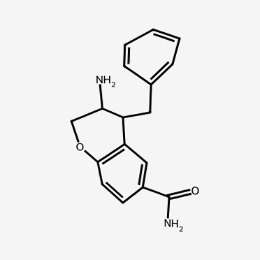 NC(=O)c1ccc2c(c1)C(Cc1ccccc1)C(N)CO2